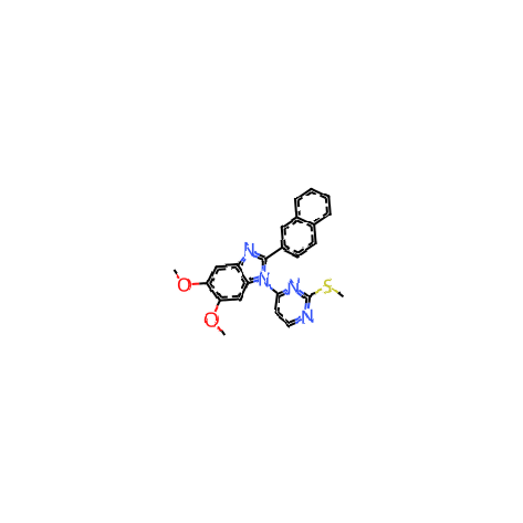 COc1cc2nc(-c3ccc4ccccc4c3)n(-c3ccnc(SC)n3)c2cc1OC